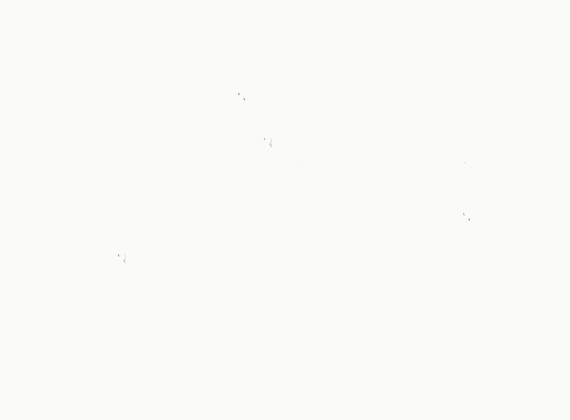 c1ccc(-c2cc(-c3ccc(-n4c5ccc(-c6ccc7c8ccccc8n(-c8ccccc8)c7c6)cc5c5cccnc54)cc3)cc(-c3ccccc3)n2)cc1